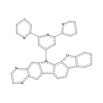 c1ccc(-c2cc(-n3c4cc5nccnc5cc4c4ccc5c6ccccc6oc5c43)cc(-c3ccccn3)n2)nc1